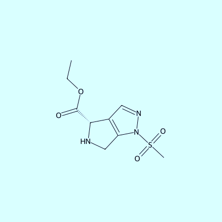 CCOC(=O)[C@H]1NCc2c1cnn2S(C)(=O)=O